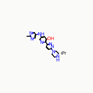 Cc1ncc(Nc2cnc(-c3ccc(N4CCN[C@@H](C(C)C)C4)nn3)c(O)c2)cn1